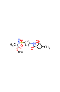 Cc1ccc(C(=O)Nc2ccc(S(=O)(=O)N[C@H](C)C(=O)OC(C)(C)C)cc2)c(O)c1